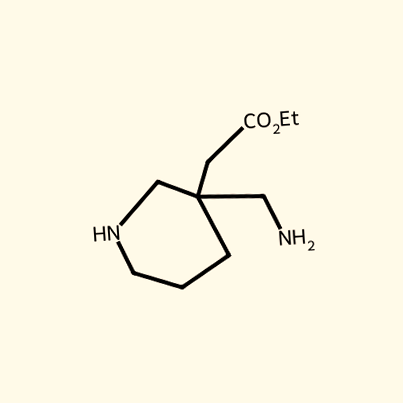 CCOC(=O)CC1(CN)CCCNC1